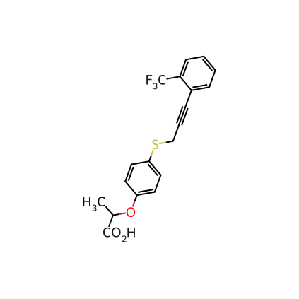 CC(Oc1ccc(SCC#Cc2ccccc2C(F)(F)F)cc1)C(=O)O